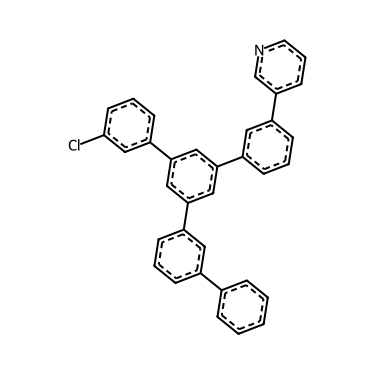 Clc1cccc(-c2cc(-c3cccc(-c4ccccc4)c3)cc(-c3cccc(-c4cccnc4)c3)c2)c1